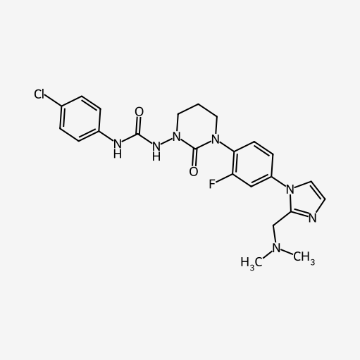 CN(C)Cc1nccn1-c1ccc(N2CCCN(NC(=O)Nc3ccc(Cl)cc3)C2=O)c(F)c1